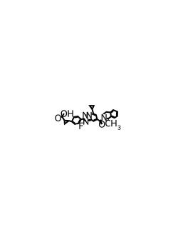 C[C@@H]1c2ccccc2CCN1C(=O)c1cc(C2CC2)n2nc(-c3ccc(C4CC4C(=O)O)cc3F)nc2c1